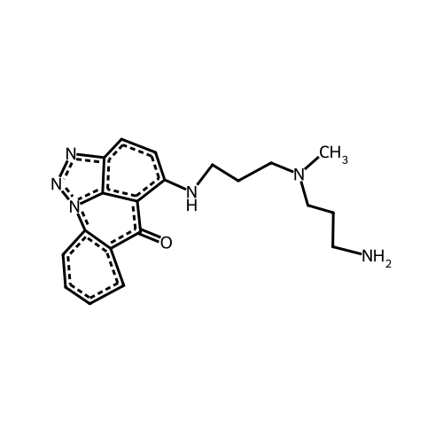 CN(CCCN)CCCNc1ccc2nnn3c4ccccc4c(=O)c1c23